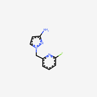 Nc1ccn(Cc2cccc(F)n2)n1